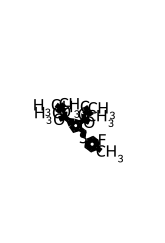 Cc1ccc(SCC2CC3C(C(=O)OC(C)(C)C)C3C2C(=O)OC(C)(C)C)cc1F